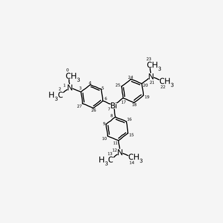 CN(C)c1cc[c]([Bi]([c]2ccc(N(C)C)cc2)[c]2ccc(N(C)C)cc2)cc1